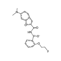 CN(C)c1ccc2cc(C(=O)N[S+]([O-])c3ccccc3OCCF)oc2c1